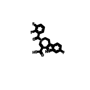 O=C(O)C1=CN(C(=O)c2cccc(F)c2F)CCc2c1[nH]c1cc(F)ccc21